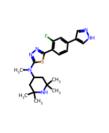 CN(c1nnc(-c2ccc(-c3cn[nH]c3)cc2F)s1)C1CC(C)(C)NC(C)(C)C1